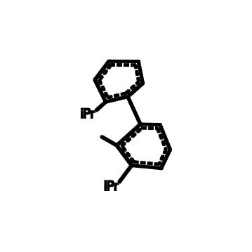 Cc1c(-c2ccccc2C(C)C)cccc1C(C)C